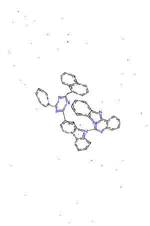 c1ccc(-c2nc(-c3ccc4c5ccccc5n(-c5nc6ccccc6c6nc7ccccc7n56)c4c3)nc(-c3cccc4ccccc34)n2)cc1